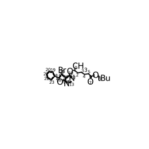 C[C@H](CCCCC(=O)OC(C)(C)C)Oc1ncnc2oc(-c3ccccc3)c(Br)c12